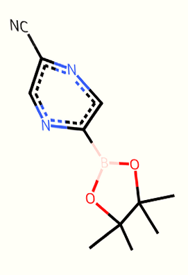 CC1(C)OB(c2cnc(C#N)cn2)OC1(C)C